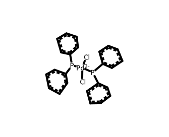 [Cl][Pd-2]([Cl])([P](c1ccccc1)c1ccccc1)[P](c1ccccc1)c1ccccc1